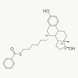 C[C@]12CCC3c4ccc(O)cc4C[C@@H](CCCCCCSC(=O)c4ccccc4)C3C1CC[C@@H]2O